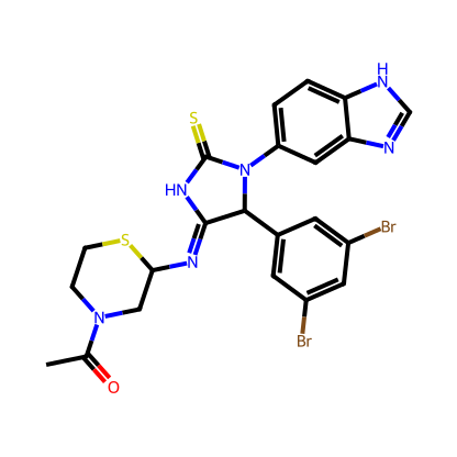 CC(=O)N1CCSC(N=C2NC(=S)N(c3ccc4[nH]cnc4c3)C2c2cc(Br)cc(Br)c2)C1